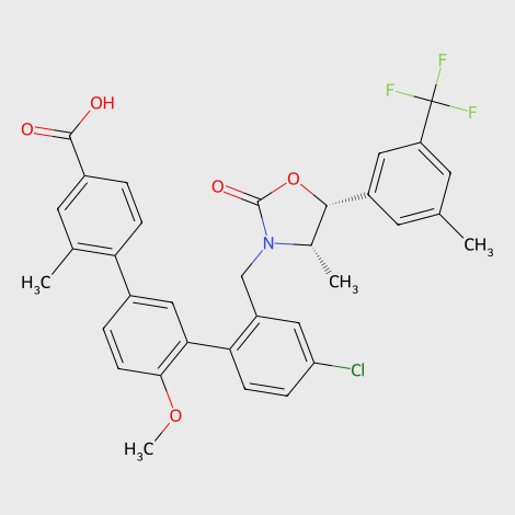 COc1ccc(-c2ccc(C(=O)O)cc2C)cc1-c1ccc(Cl)cc1CN1C(=O)O[C@H](c2cc(C)cc(C(F)(F)F)c2)[C@@H]1C